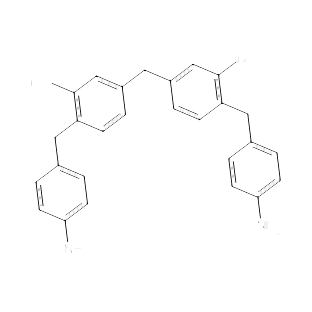 CCCc1cc(Cc2ccc(Cc3ccc(N)cc3)c(CCC)c2)ccc1Cc1ccc(N)cc1